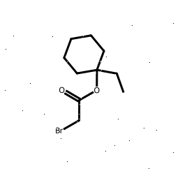 CCC1(OC(=O)CBr)CCCCC1